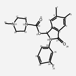 Cc1cc2c(cc1C)C(OC(=O)N1CCN(C)CC1)N(c1cccc(F)c1)C2=O